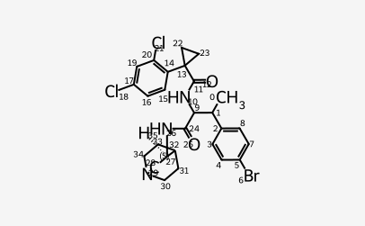 CC(c1ccc(Br)cc1)C(NC(=O)C1(c2ccc(Cl)cc2Cl)CC1)C(=O)N[C@@H]1CN2CCC1CC2